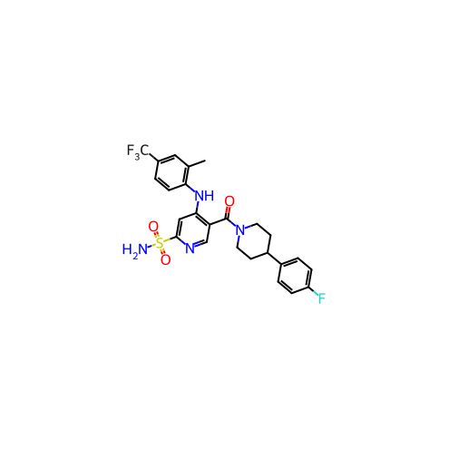 Cc1cc(C(F)(F)F)ccc1Nc1cc(S(N)(=O)=O)ncc1C(=O)N1CCC(c2ccc(F)cc2)CC1